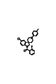 Cc1ccc(N2CCC3(CC2)CN(C(=O)c2ccccc2F)c2ccc(Cl)cc23)cc1